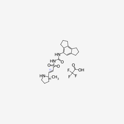 C[C@]1(/C=C/S(=O)(=O)NC(=O)Nc2cc3c(c4c2CCC4)CCC3)CCCN1.O=C(O)C(F)(F)F